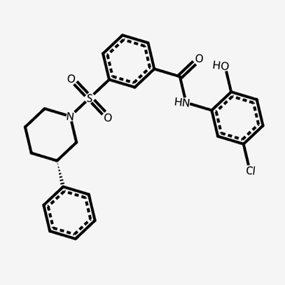 O=C(Nc1cc(Cl)ccc1O)c1cccc(S(=O)(=O)N2CCC[C@@H](c3ccccc3)C2)c1